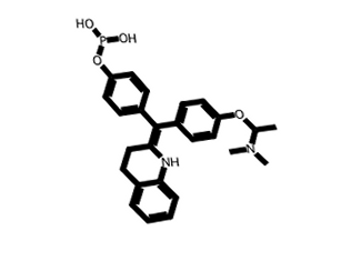 CC(Oc1ccc(C(=C2CCc3ccccc3N2)c2ccc(OP(O)O)cc2)cc1)N(C)C